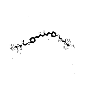 CC(C)(C)OC(=O)NCCOc1ccc(/C=C/C(=O)CC(=O)/C=C/c2ccc(OCCNC(=O)OC(C)(C)C)cc2)cc1